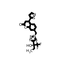 CC[C@](O)(c1cn(Cc2ccc3c(-c4ccns4)cc(=O)oc3c2)nn1)C(F)(F)F